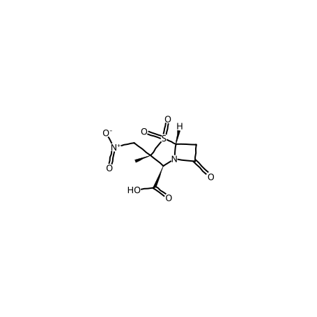 C[C@]1(C[N+](=O)[O-])[C@H](C(=O)O)N2C(=O)C[C@H]2S1(=O)=O